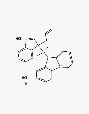 C=CCC1([Si](C)(C)C2c3ccccc3-c3ccccc32)C=Cc2ccccc21.Cl.Cl.[Zr]